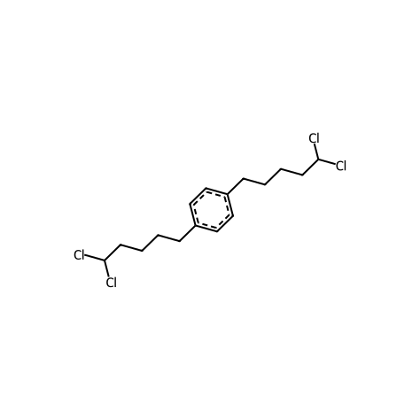 ClC(Cl)CCCCc1ccc(CCCCC(Cl)Cl)cc1